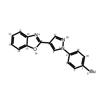 CCC(C)c1ccc(-n2cc(-c3nc4ccccc4o3)cn2)cc1